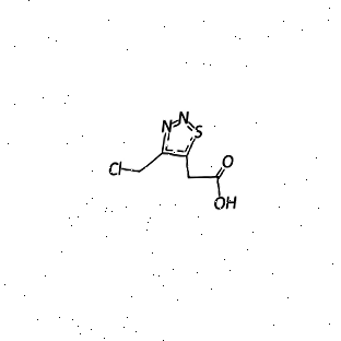 O=C(O)Cc1snnc1CCl